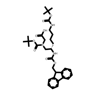 CC(C)(C)OC(=O)NCCCC[C@@H](CN(CC(=O)O)C(=O)OC(C)(C)C)NC(=O)OCC1c2ccccc2-c2ccccc21